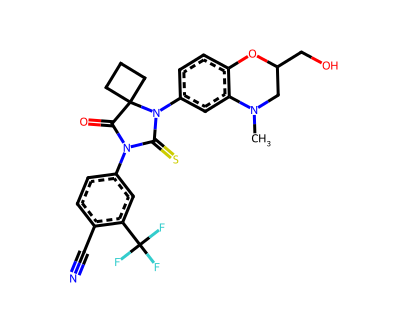 CN1CC(CO)Oc2ccc(N3C(=S)N(c4ccc(C#N)c(C(F)(F)F)c4)C(=O)C34CCC4)cc21